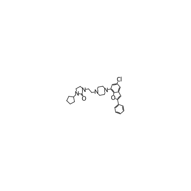 O=C1N(CCN2CCN(c3cc(Cl)cc4cc(-c5ccccc5)oc34)CC2)CCN1C1CCCC1